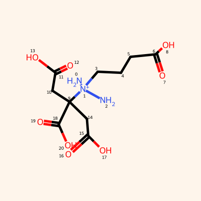 N[N+](N)(CCCC(=O)O)C(CC(=O)O)(CC(=O)O)C(=O)O